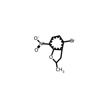 CC1Cc2c(Br)ccc([N+](=O)[O-])c2O1